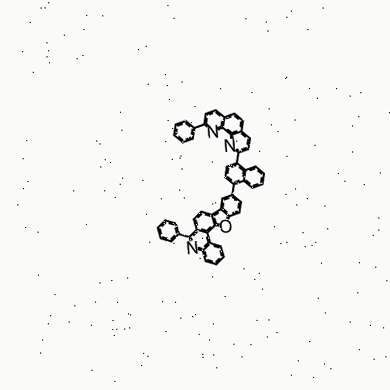 c1ccc(-c2ccc3ccc4ccc(-c5ccc(-c6ccc7oc8c(ccc9c(-c%10ccccc%10)nc%10ccccc%10c98)c7c6)c6ccccc56)nc4c3n2)cc1